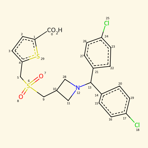 O=C(O)c1ccc(CS(=O)(=O)CC2CN(C(c3ccc(Cl)cc3)c3ccc(Cl)cc3)C2)s1